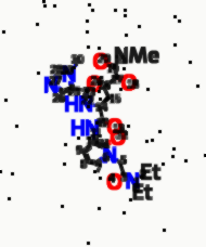 CCN(CC)C(=O)Cn1cccc(NC(=O)[C@H](CCC(=O)C(=O)NC)NC(=O)c2cncn2C)c1=O